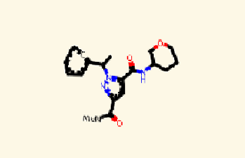 CNC(=O)c1cc(C(=O)NC2CCCOC2)n(C(C)c2ccccc2)n1